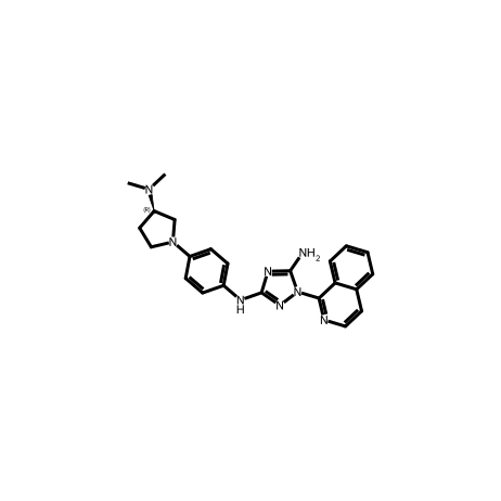 CN(C)[C@@H]1CCN(c2ccc(Nc3nc(N)n(-c4nccc5ccccc45)n3)cc2)C1